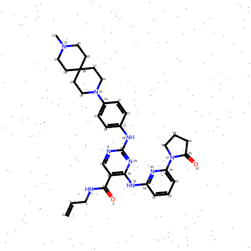 C=CCNC(=O)c1cnc(Nc2ccc(N3CCC4(CCN(C)CC4)CC3)cc2)nc1Nc1cccc(N2CCCC2=O)n1